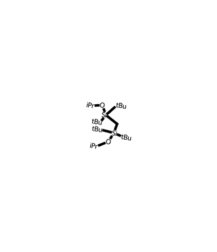 CC(C)O[Si](C[Si](OC(C)C)(C(C)(C)C)C(C)(C)C)(C(C)(C)C)C(C)(C)C